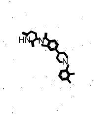 C=C1CCC(N2Cc3cc(C4CCN(Cc5cccc(C)c5C)CC4)ccc3C2=C)C(=C)N1